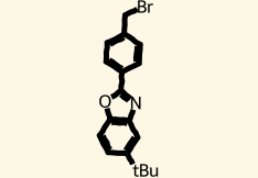 CC(C)(C)c1ccc2oc(-c3ccc(CBr)cc3)nc2c1